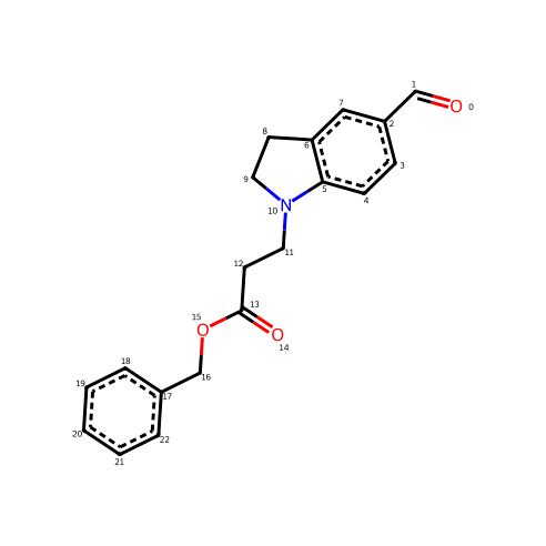 O=Cc1ccc2c(c1)CCN2CCC(=O)OCc1ccccc1